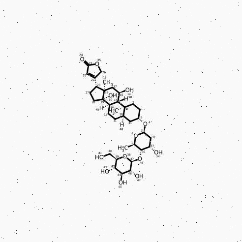 C[C@H]1O[C@@H](O[C@H]2CC[C@@]3(C)[C@H](CC[C@@H]4[C@@H]3[C@H](O)C[C@]3(C)[C@@H](C5=CC(=O)OC5)CC[C@]43O)C2)C[C@H](O)[C@@H]1O[C@@H]1O[C@H](CO)[C@@H](O)[C@H](O)[C@H]1O